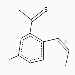 C/C=C\c1ccc(C)cc1C(C)=S